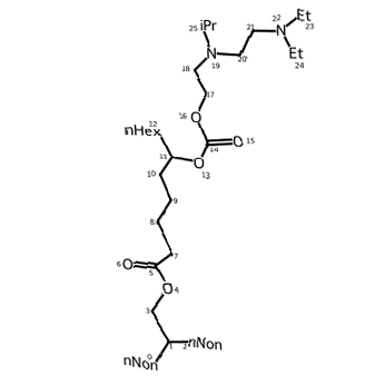 CCCCCCCCCC(CCCCCCCCC)COC(=O)CCCCC(CCCCCC)OC(=O)OCCN(CCN(CC)CC)C(C)C